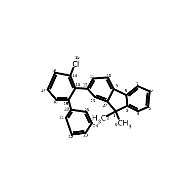 CC1(C)c2ccccc2-c2ccc(-c3c(Cl)cccc3-c3ccccc3)cc21